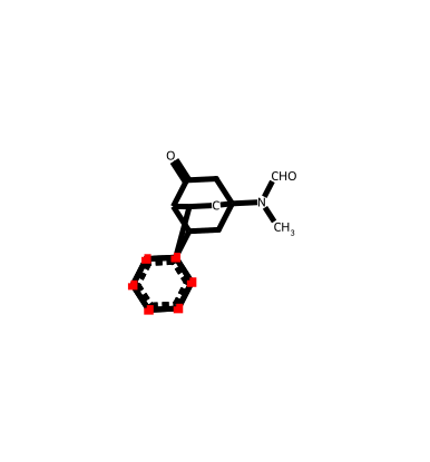 CN(C=O)C12CC(=O)C(C(c3ccccc3)C1)C(c1ccccc1)C2